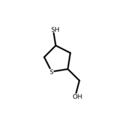 OCC1CC(S)CS1